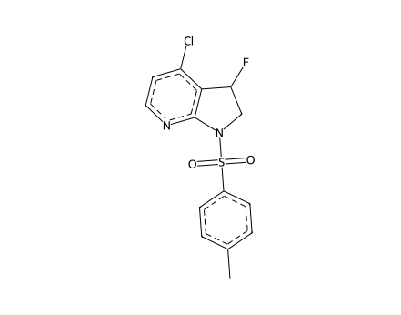 Cc1ccc(S(=O)(=O)N2CC(F)c3c(Cl)ccnc32)cc1